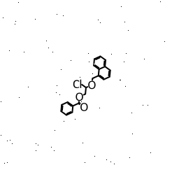 O=C(OCC(Cl)OCc1cccc2ccccc12)c1ccccc1